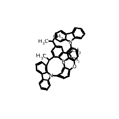 CC(C)c1cc(C(C)C)c2c(c1)C(C)c1cccc3c4ccccc4n(c13)-c1ccc3c(c1)B2c1cc(-n2c4ccccc4c4ccccc42)ccc1O3